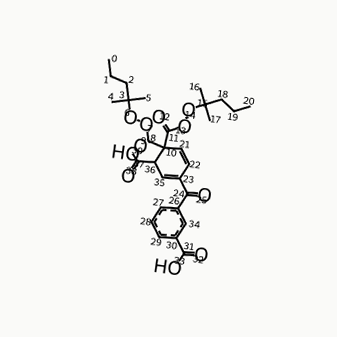 CCCC(C)(C)OOC(=O)C1(C(=O)OOC(C)(C)CCC)C=CC(C(=O)c2cccc(C(=O)O)c2)=CC1C(=O)O